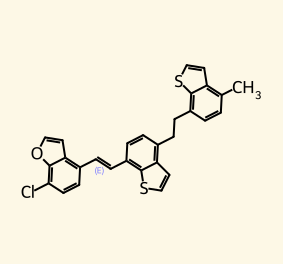 Cc1ccc(CCc2ccc(/C=C/c3ccc(Cl)c4occc34)c3sccc23)c2sccc12